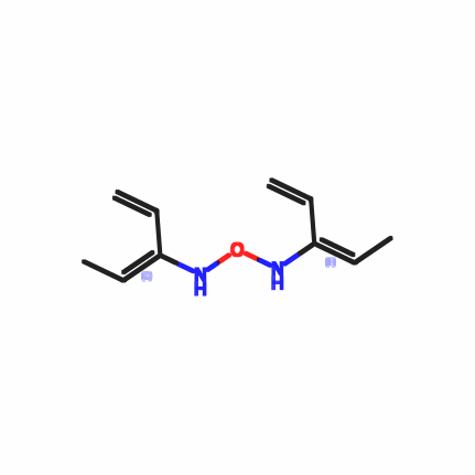 C=C/C(=C\C)NON/C(C=C)=C/C